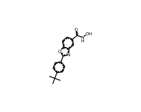 CC(C)(C)c1ccc(-c2nc3cc(C(=O)NO)ccc3o2)cc1